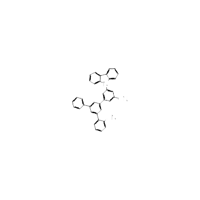 N#Cc1cc(-c2cc(-c3ccccc3)cc(-c3ccccc3C#N)c2)cc(-n2c3ccccc3c3ccccc32)c1